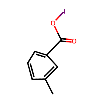 Cc1cccc(C(=O)OI)c1